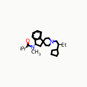 CC[C@H](CN1CCC2(CC1)C[C@H](N(C)C(=O)C(C)C)c1ccccc12)C1CCCC1